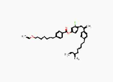 C=COCCCCCCCc1ccc(C(=O)Oc2ccc(CC(=C)c3ccc(CCCCCC(=C)C=C)cc3)c(F)c2)cc1